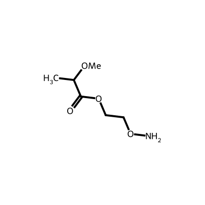 COC(C)C(=O)OCCON